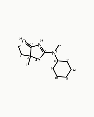 CCC1(C)SC(N(C)C2CCCCC2)=NC1=O